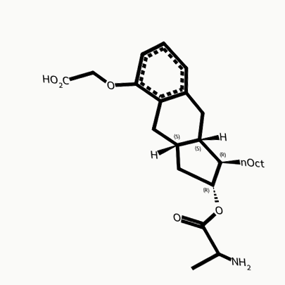 CCCCCCCC[C@@H]1[C@H]2Cc3cccc(OCC(=O)O)c3C[C@H]2C[C@H]1OC(=O)C(C)N